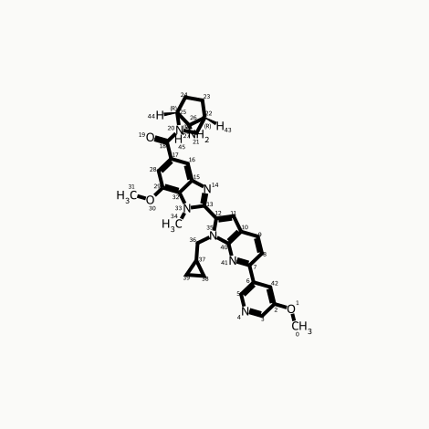 COc1cncc(-c2ccc3cc(-c4nc5cc(C(=O)N6C[C@H]7CC[C@@H]6[C@@H]7N)cc(OC)c5n4C)n(CC4CC4)c3n2)c1